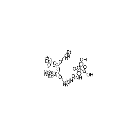 CCn1cc(CCOCC(CC)(COCC(CC)(COCCc2cn(CNCC(=O)Nc3ccc4c(c3)C(=O)OC43c4ccc(O)cc4Oc4cc(O)ccc43)nn2)COC(C)C)COCC(CC)(COCCc2cn(CC)nn2)CC(C)C)nn1